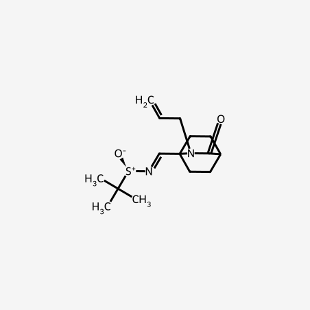 C=CCN1C(=O)C2CCC1(C=N[S@+]([O-])C(C)(C)C)CC2